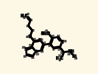 C=CCCOc1nc(-c2cc(C(C)NCC)ncc2OC)cn2ccnc12